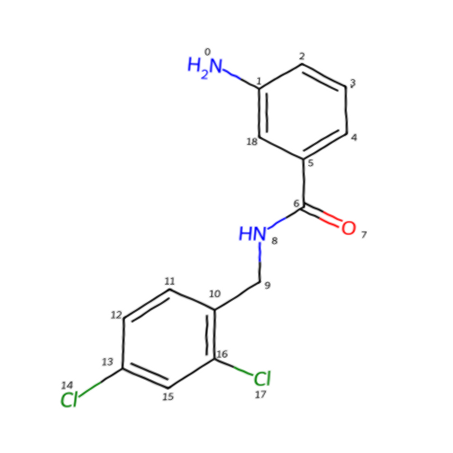 Nc1c[c]cc(C(=O)NCc2ccc(Cl)cc2Cl)c1